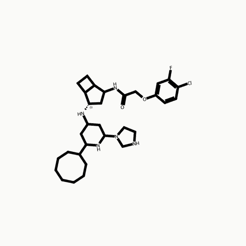 O=C(COc1ccc(Cl)c(F)c1)NC1C[C@H](NC2CC(C3CCCCCCC3)NC(N3CCNC3)C2)C2CCC12